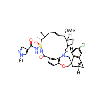 CCn1cc(C(=O)NS2(=O)=NC(=O)c3ccc4c(c3)N(C[C@@H]3CC[C@H]3[C@@H](OC)/C=C/C[C@H](C)[C@H]2C)C[C@]2(CO4)C[C@@H]3C[C@@H]3c3cc(Cl)ccc32)cn1